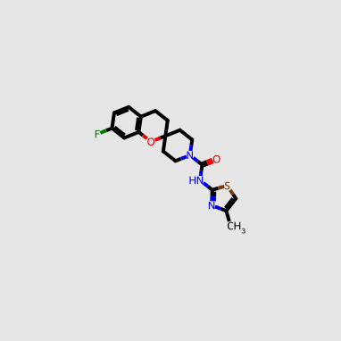 Cc1csc(NC(=O)N2CCC3(CCc4ccc(F)cc4O3)CC2)n1